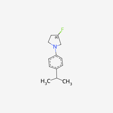 CC(C)c1ccc(N2CC[C@@H](F)C2)cc1